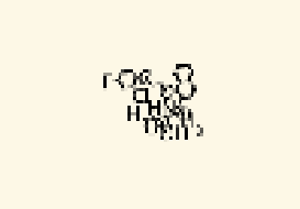 CC(C)(NC(=O)c1ccc2ccccc2c1OCCOc1ccc(F)cc1Cl)C(=O)O